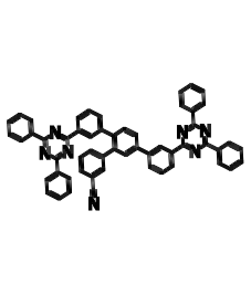 N#Cc1cccc(-c2cc(-c3cccc(-c4nc(-c5ccccc5)nc(-c5ccccc5)n4)c3)ccc2-c2cccc(-c3nc(-c4ccccc4)nc(-c4ccccc4)n3)c2)c1